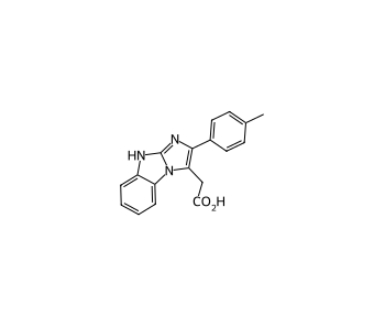 Cc1ccc(-c2nc3[nH]c4ccccc4n3c2CC(=O)O)cc1